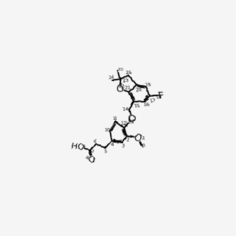 COc1cc(CCC(=O)O)ccc1OCc1cc(F)cc2c1OC(C)(C)C2